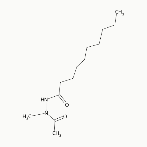 CCCCCCCCCC(=O)NN(C)C(C)=O